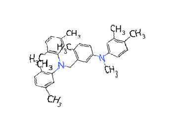 Cc1ccc(C)c(N(Cc2cc(N(C)c3ccc(C)c(C)c3)ccc2C)c2cc(C)ccc2C)c1